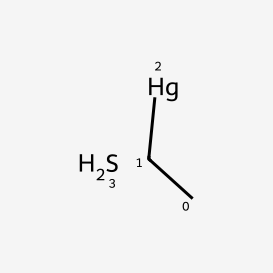 C[CH2][Hg].S